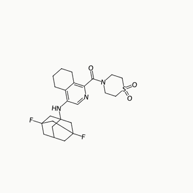 O=C(c1ncc(NC23CC4CC(F)(CC(F)(C4)C2)C3)c2c1CCCC2)N1CCS(=O)(=O)CC1